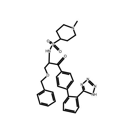 CN1CCC(S(=O)(=O)NC(COCc2ccccc2)C(=O)c2ccc(-c3ccccc3-c3nnn[nH]3)cc2)CC1